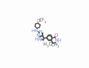 CC1(C)CNC(=O)c2ccc(-c3c[nH]c4nc(N[C@H]5CC[C@@H](OC(F)(F)F)CC5)ncc34)cc21